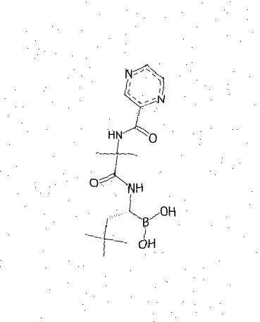 CC(C)(C)C[C@H](NC(=O)C(C)(C)NC(=O)c1cnccn1)B(O)O